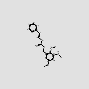 COc1cc(CCC(=O)OC=Cc2ccccc2)c(OC)c(OC)c1